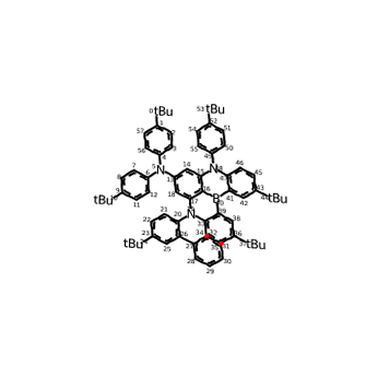 CC(C)(C)c1ccc(N(c2ccc(C(C)(C)C)cc2)c2cc3c4c(c2)N(c2ccc(C(C)(C)C)cc2-c2ccccc2)c2ccc(C(C)(C)C)cc2B4c2cc(C(C)(C)C)ccc2N3c2ccc(C(C)(C)C)cc2)cc1